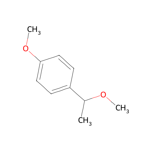 COc1ccc(C(C)OC)cc1